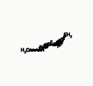 CCCCCCCCc1cnc(-c2ccc(OCC(F)COCC(F)(F)C(F)(F)C(F)(F)COCCCC)cc2)nc1